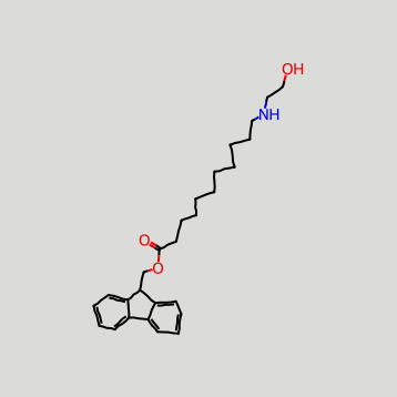 O=C(CCCCCCCCCCNCCO)OCC1c2ccccc2-c2ccccc21